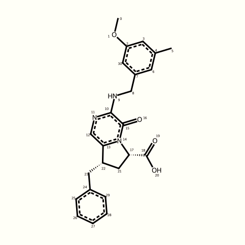 COc1cc(C)cc(CNc2ncc3n(c2=O)[C@H](C(=O)O)C[C@@H]3Cc2ccccc2)c1